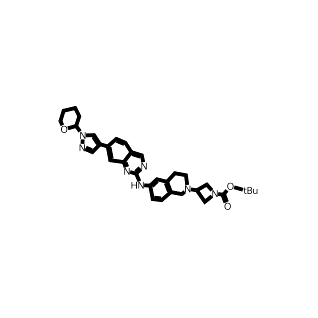 CC(C)(C)OC(=O)N1CC(N2CCc3cc(Nc4ncc5ccc(-c6cnn(C7CCCCO7)c6)cc5n4)ccc3C2)C1